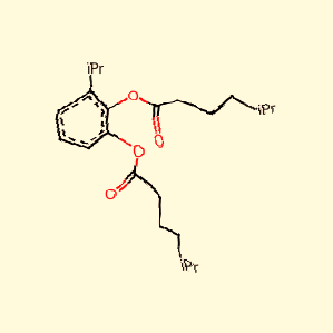 CC(C)CCCC(=O)Oc1cccc(C(C)C)c1OC(=O)CCCC(C)C